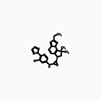 CCc1cc2ncc3c(n2n1)C(C)(C)C[C@H]3C1OC1Nc1cnc(-n2nccn2)c(Cl)c1